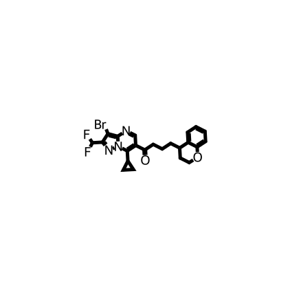 O=C(CCCC1CCOc2ccccc21)c1cnc2c(Br)c(C(F)F)nn2c1C1CC1